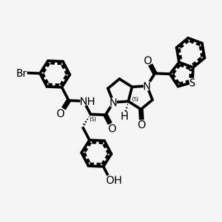 O=C(N[C@@H](Cc1ccc(O)cc1)C(=O)N1CCC2[C@H]1C(=O)CN2C(=O)c1csc2ccccc12)c1cccc(Br)c1